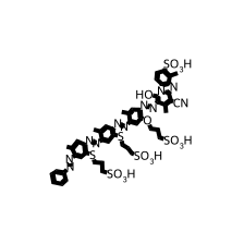 Cc1cc(N=Nc2cc(SCCCS(=O)(=O)O)c(N=Nc3cc(OCCCS(=O)(=O)O)c(N=Nc4c(C)c(C#N)c5nc6c(C)c(S(=O)(=O)O)ccc6n5c4O)cc3C)cc2C)c(SCCCS(=O)(=O)O)cc1N=Nc1ccccc1